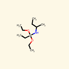 CCO[Si](CC)(NC(C)CC)OCC